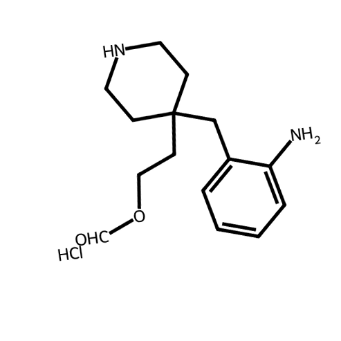 Cl.Nc1ccccc1CC1(CCOC=O)CCNCC1